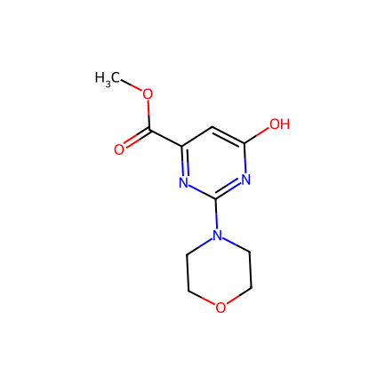 COC(=O)c1cc(O)nc(N2CCOCC2)n1